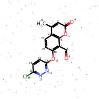 Cc1cc(=O)oc2c(C=O)c(Oc3ccc(Cl)nn3)ccc12